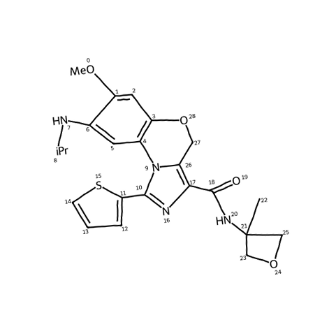 COc1cc2c(cc1NC(C)C)-n1c(-c3cccs3)nc(C(=O)NC3(C)COC3)c1CO2